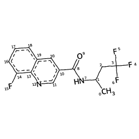 CC(CC(F)(F)F)NC(=O)c1cnc2c(F)cccc2c1